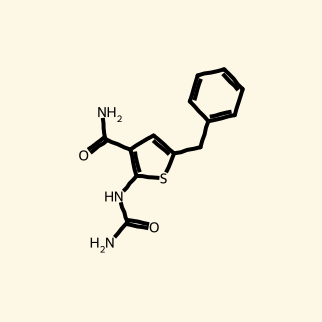 NC(=O)Nc1sc(Cc2ccccc2)cc1C(N)=O